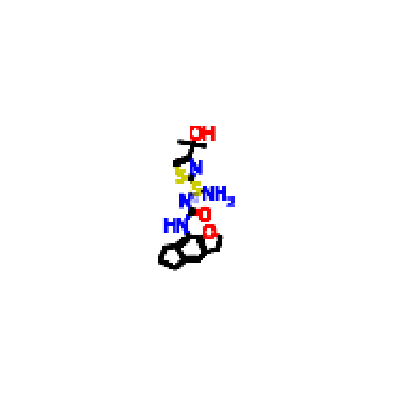 CC(C)(O)c1csc(/S(N)=N/C(=O)Nc2c3c(cc4c2OCC4)CCC3)n1